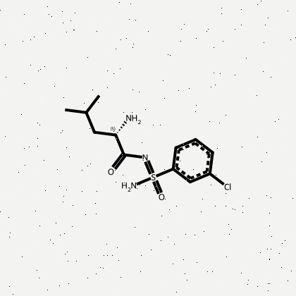 CC(C)C[C@H](N)C(=O)N=S(N)(=O)c1cccc(Cl)c1